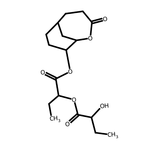 CCC(O)C(=O)OC(CC)C(=O)OC1CCC2CCC(=O)OC1C2